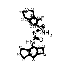 N[S@@](=O)(=NC(=O)Nc1c2c(cc3c1CC3)CCC2)c1sc2c(c1F)COCC2